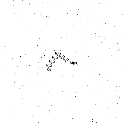 O.O.O.O.O.O.[KH].[MgH2]